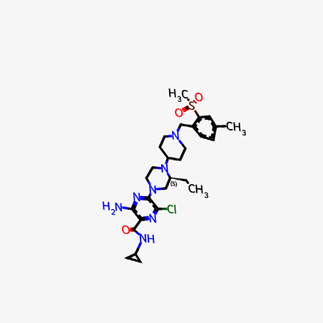 CC[C@H]1CN(c2nc(N)c(C(=O)NC3CC3)nc2Cl)CCN1C1CCN(Cc2ccc(C)cc2S(C)(=O)=O)CC1